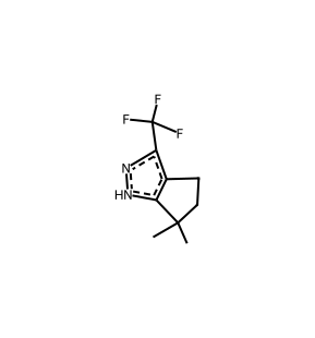 CC1(C)CCc2c(C(F)(F)F)n[nH]c21